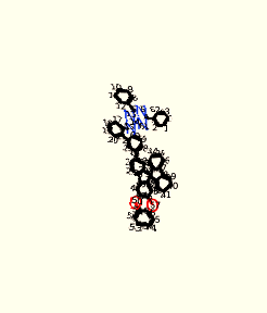 c1ccc(-c2nc(-c3ccccc3)nc(-n3c4ccccc4c4cc(-c5ccc6c(c5)C5(c7ccccc7-c7ccccc75)c5cc7c(cc5-6)Oc5ccccc5O7)ccc43)n2)cc1